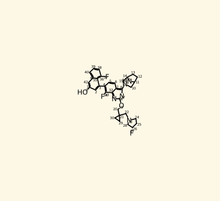 Oc1cc(-c2ccc3c(N4CC5CCC(C4)N5)nc(OCC4(CN5CC[C@H](F)C5)CC4)nc3c2F)c2c(F)cccc2c1